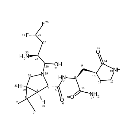 CC1(C)[C@@H]2[C@@H](C(=O)N[C@@H](C[C@@H]3CCNC3=O)C(N)=O)N(C(O)[C@@H](N)CC(F)F)C[C@@H]21